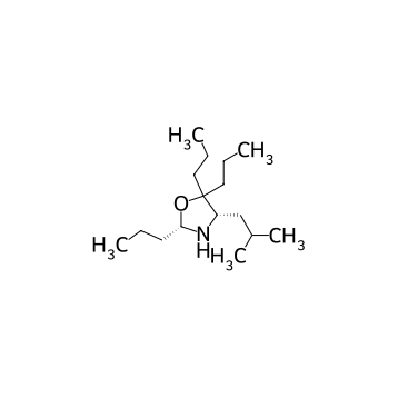 CCC[C@H]1N[C@@H](CC(C)C)C(CCC)(CCC)O1